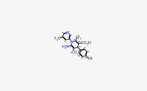 CCOC(=O)C1=C(N)N(c2cncc(C(F)(F)F)c2)C(C(F)(F)F)=C(C(=O)OCC)C1c1ccc(C#N)cc1